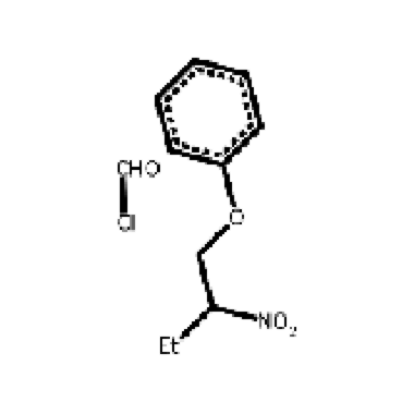 CCC(COc1ccccc1)[N+](=O)[O-].O=CCl